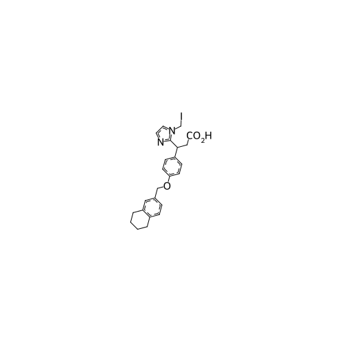 O=C(O)CC(c1ccc(OCc2ccc3c(c2)CCCC3)cc1)c1nccn1CI